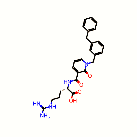 N=C(N)NCCC[C@H](NC(=O)c1cccn(Cc2cccc(Cc3ccccc3)c2)c1=O)C(=O)O